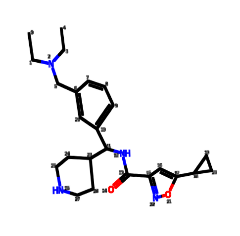 CCN(CC)Cc1cccc(C(NC(=O)c2cc(C3CC3)on2)C2CCNCC2)c1